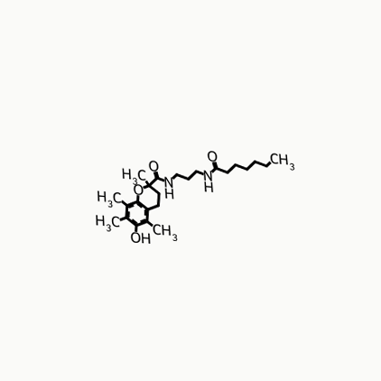 CCCCCCC(=O)NCCCNC(=O)C1(C)CCc2c(C)c(O)c(C)c(C)c2O1